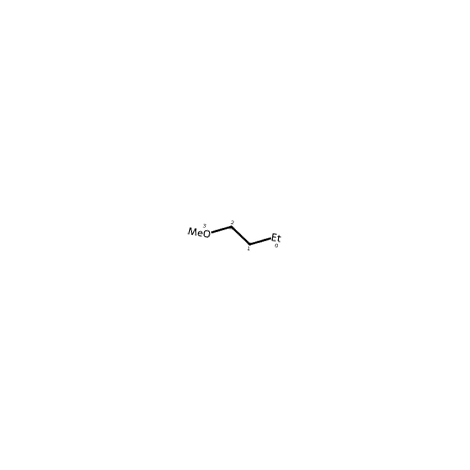 CCC[C]OC